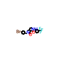 Cc1cc(C(F)(F)F)ccc1OC1NC=CC2=C1C(=O)N(Cc1ccc(Br)cc1)C2